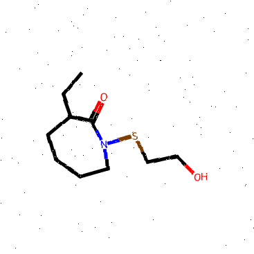 CCC1CCCCN(SCCO)C1=O